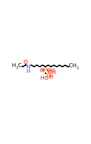 CCCCCCCCCC(CCCCCNC(=O)CC)P(=O)(O)CP(=O)(O)O